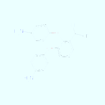 Nc1ccc(Oc2cccc(C(C(F)(F)F)C(F)(F)F)c2Oc2ccc(N)cc2)cc1